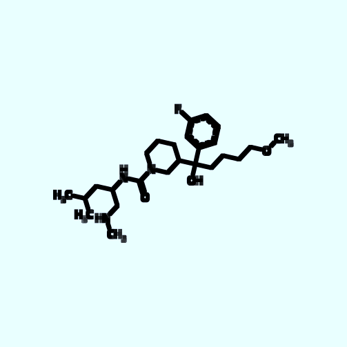 CNCC(CC(C)C)NC(=O)N1CCCC(C(O)(CCCCOC)c2cccc(F)c2)C1